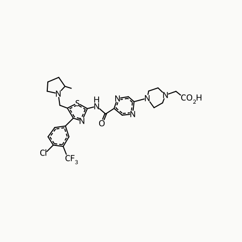 CC1CCCN1Cc1sc(NC(=O)c2cnc(N3CCN(CC(=O)O)CC3)cn2)nc1-c1ccc(Cl)c(C(F)(F)F)c1